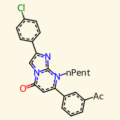 CCCCCn1c(-c2cccc(C(C)=O)c2)cc(=O)n2cc(-c3ccc(Cl)cc3)nc12